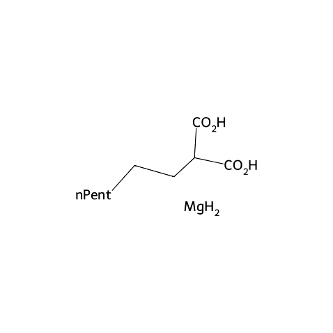 CCCCCCCC(C(=O)O)C(=O)O.[MgH2]